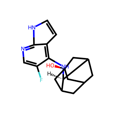 O[C@]12CC3CC(C1)[C@H](Nc1c(F)cnc4[nH]ccc14)C(C3)C2